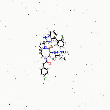 CN[C@@H](C)C(=O)N[C@H]1CN(C(=O)Cc2ccc(F)cc2)CC[C@H]2CC[C@@H](c3nc4c(-c5ccccc5F)cccc4[nH]3)N2C1=O